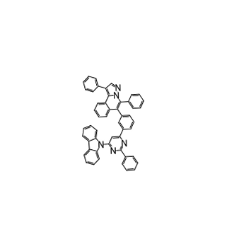 c1ccc(-c2nc(-c3cccc(-c4c(-c5ccccc5)n5ncc(-c6ccccc6)c5c5ccccc45)c3)cc(-n3c4ccccc4c4ccccc43)n2)cc1